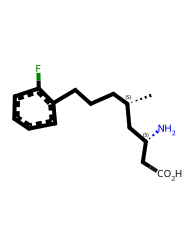 C[C@@H](CCCc1ccccc1F)C[C@H](N)CC(=O)O